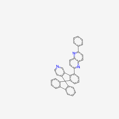 c1ccc(-c2ccc3nc(-c4cccc5c4-c4cnccc4C54c5ccccc5-c5ccccc54)ccc3n2)cc1